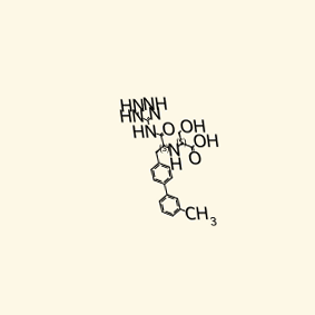 Cc1cccc(-c2ccc(C[C@H](N[C@@H](CO)C(=O)O)C(=O)NC3=NNNN3)cc2)c1